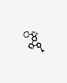 c1cc(-c2ncccc2-c2ccc3ncnc(N4CCOCC4)c3c2)cc(C2CC2)c1